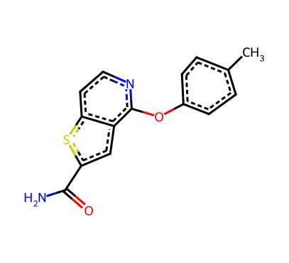 Cc1ccc(Oc2nccc3sc(C(N)=O)cc23)cc1